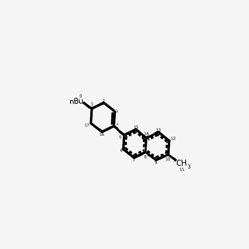 CCCCC1CC=C(c2ccc3cc(C)ccc3c2)CC1